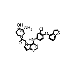 N[C@@H]1CN(C(=O)Cn2ccc3ncnc(Nc4ccc(Oc5cccc6sccc56)c(Cl)c4)c32)CC[C@H]1O